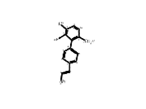 CCCC=Cc1ccc(-c2c(C(=O)O)ccc(F)c2F)cc1